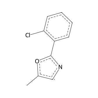 Cc1[c]nc(-c2ccccc2Cl)o1